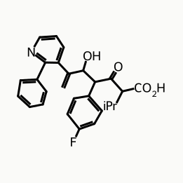 C=C(c1cccnc1-c1ccccc1)C(O)C(C(=O)C(C(=O)O)C(C)C)c1ccc(F)cc1